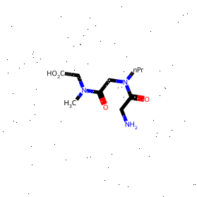 CCCN(CC(=O)N(C)CC(=O)O)C(=O)CN